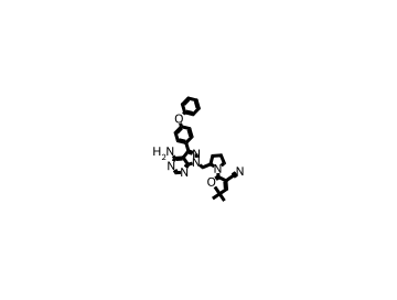 CC(C)(C)/C=C(/C#N)C(=O)N1CCCC1Cn1nc(-c2ccc(Oc3ccccc3)cc2)c2c(N)ncnc21